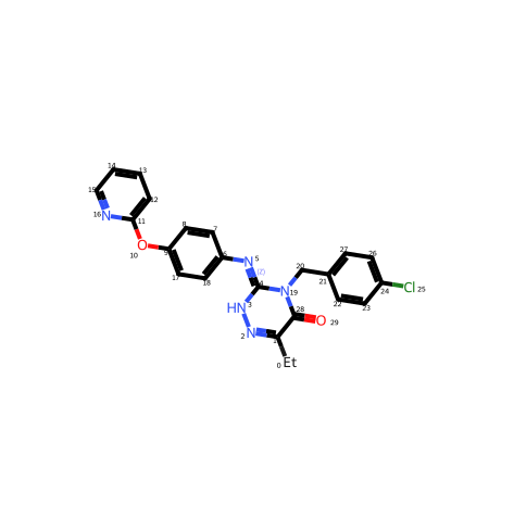 CCc1n[nH]/c(=N\c2ccc(Oc3ccccn3)cc2)n(Cc2ccc(Cl)cc2)c1=O